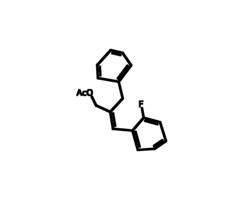 CC(=O)OCC(=Cc1ccccc1F)Cc1ccccc1